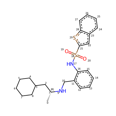 C[C@H](CC1CCCCC1)NCc1ccccc1NS(=O)(=O)c1cc2ccccc2s1